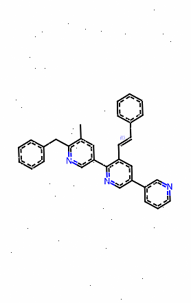 Cc1cc(-c2ncc(-c3cccnc3)cc2/C=C/c2ccccc2)cnc1Cc1ccccc1